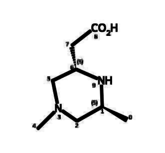 C[C@H]1CN(C)C[C@H](CC(=O)O)N1